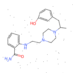 CC(Cc1cccc(O)c1)N1CCN(CCNc2ccccc2C(N)=O)CC1